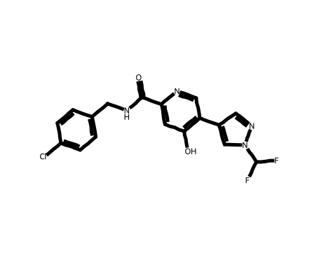 O=C(NCc1ccc(Cl)cc1)c1cc(O)c(-c2cnn(C(F)F)c2)cn1